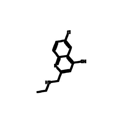 CCNCc1cc(O)c2cc(Cl)ccc2n1